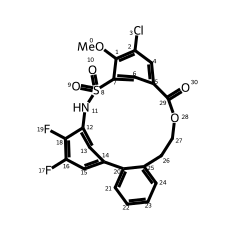 COc1c(Cl)cc2cc1S(=O)(=O)Nc1cc(cc(F)c1F)-c1ccccc1CCOC2=O